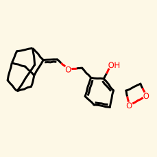 C1COO1.Oc1ccccc1COC=C1C2CC3CC(C2)CC1C3